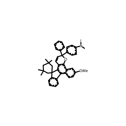 COc1ccc2c3c(c4c(c2c1)OC(c1ccccc1)(c1ccc(N(C)I)cc1)C=C4)C1(CC(C)(C)CC(C)(C)C1)c1ccccc1-3